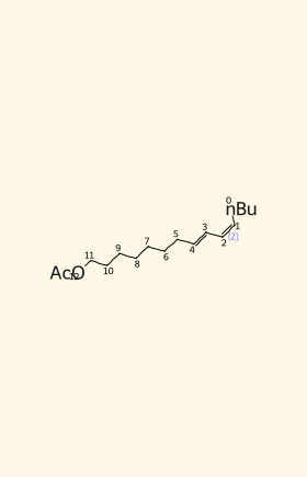 CCCC/C=C\C=CCCCCCCCOC(C)=O